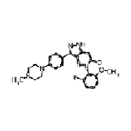 COc1cccc(F)c1-n1nc2c(-c3ccc(N4CCN(C)CC4)cc3)n[nH]c2cc1=O